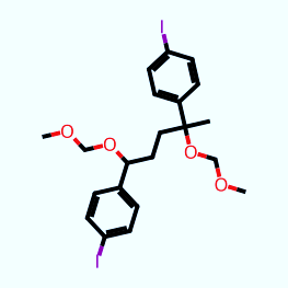 COCOC(CCC(C)(OCOC)c1ccc(I)cc1)c1ccc(I)cc1